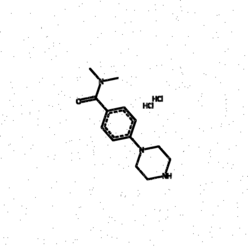 CN(C)C(=O)c1ccc(N2CCNCC2)cc1.Cl.Cl